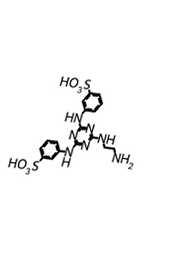 NCCNc1nc(Nc2cccc(S(=O)(=O)O)c2)nc(Nc2cccc(S(=O)(=O)O)c2)n1